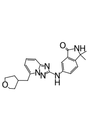 CC1(C)NC(=O)c2cc(Nc3nc4cccc(CC5CCOCC5)n4n3)ccc21